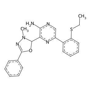 CCSc1ccccc1-c1cnc(N)c(C2OC(c3ccccc3)=NN2C)n1